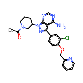 CCC(=O)N1CCCC(n2nc(-c3ccc(OCc4ccccn4)c(Cl)c3)c3c(N)ncnc32)C1